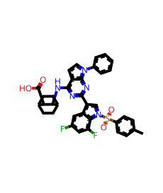 Cc1ccc(S(=O)(=O)n2cc(-c3nc(NC4C5CCC(CC5)C4C(=O)O)c4ccn(-c5ccccc5)c4n3)c3cc(F)cc(F)c32)cc1